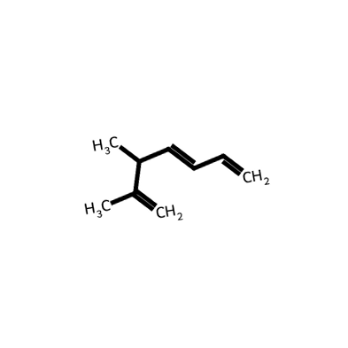 C=C/C=C/C(C)C(=C)C